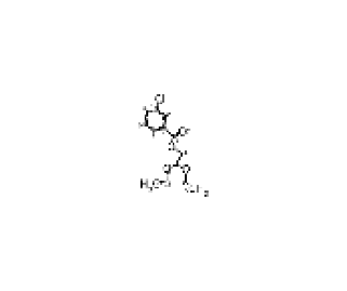 CCOC(COC(=O)c1cccc(Cl)c1)OCC